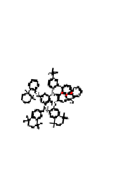 CC(C)(C)c1ccc(N2c3cc4c(cc3B3c5cc6c(cc5N(c5ccc7c(c5)C(C)(C)CCC7(C)C)c5cc(N7c8ccccc8C8(C)CCCCC78C)cc2c53)C(C)(C)CCC6(C)C)sc2ccccc24)c(-c2ccccc2)c1